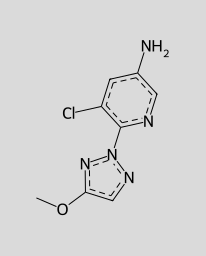 COc1cnn(-c2ncc(N)cc2Cl)n1